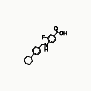 O=C(O)c1ccc(NCc2ccc(C3CCCCC3)cc2)c(F)c1